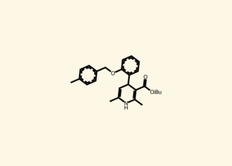 CC1=CC(c2ccccc2OCc2ccc(C)cc2)C(C(=O)OCC(C)C)=C(C)N1